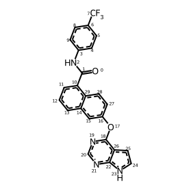 O=C(Nc1ccc(C(F)(F)F)cc1)c1cccc2cc(Oc3ncnc4[nH]ccc34)ccc12